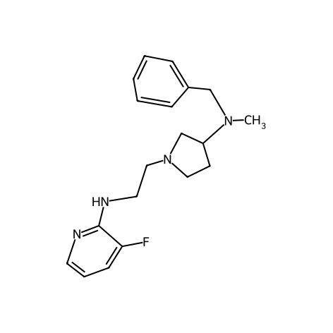 CN(Cc1ccccc1)C1CCN(CCNc2ncccc2F)C1